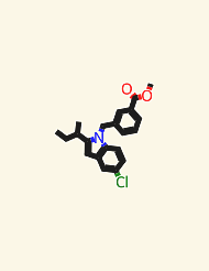 CCC(C)c1cc2cc(Cl)ccc2n1Cc1cccc(C(=O)OC)c1